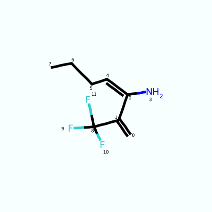 C=C(/C(N)=C\CCC)C(F)(F)F